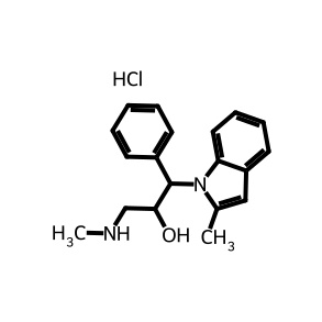 CNCC(O)C(c1ccccc1)n1c(C)cc2ccccc21.Cl